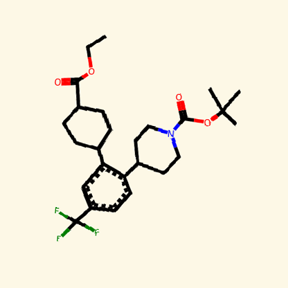 CCOC(=O)C1CCC(c2cc(C(F)(F)F)ccc2C2CCN(C(=O)OC(C)(C)C)CC2)CC1